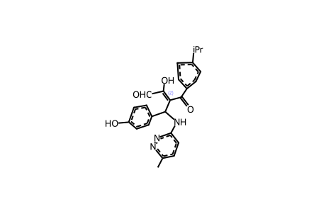 Cc1ccc(NC(/C(C(=O)c2ccc(C(C)C)cc2)=C(/O)C=O)c2ccc(O)cc2)nn1